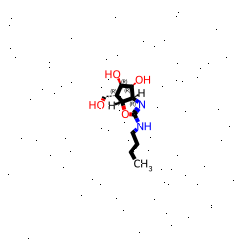 CCCCNC1=N[C@@H]2[C@@H](O)[C@H](O)[C@@H](CO)[C@H]2O1